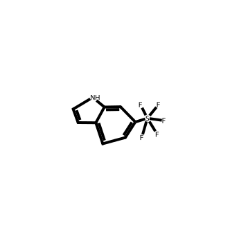 FS(F)(F)(F)(F)c1ccc2cc[nH]c2c1